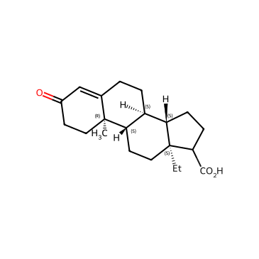 CC[C@]12CC[C@H]3[C@@H](CCC4=CC(=O)CC[C@@]43C)[C@@H]1CCC2C(=O)O